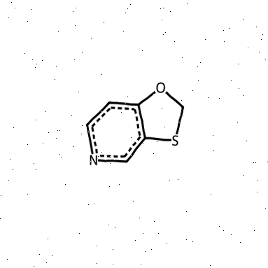 c1cc2c(cn1)SCO2